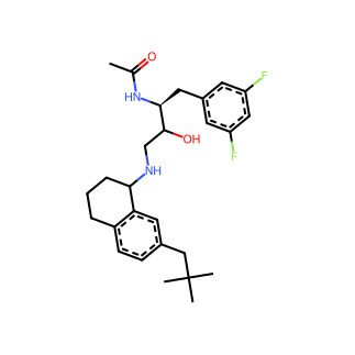 CC(=O)N[C@@H](Cc1cc(F)cc(F)c1)C(O)CNC1CCCc2ccc(CC(C)(C)C)cc21